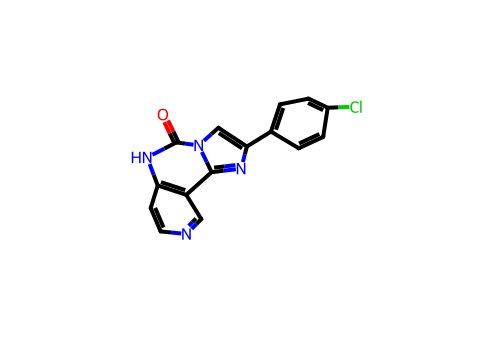 O=c1[nH]c2ccncc2c2nc(-c3ccc(Cl)cc3)cn12